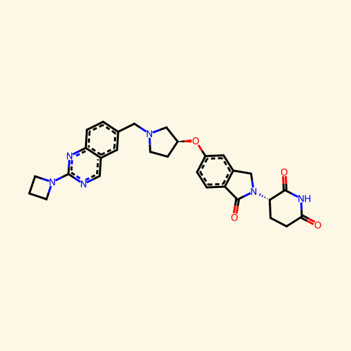 O=C1CC[C@H](N2Cc3cc(O[C@H]4CCN(Cc5ccc6nc(N7CCC7)ncc6c5)C4)ccc3C2=O)C(=O)N1